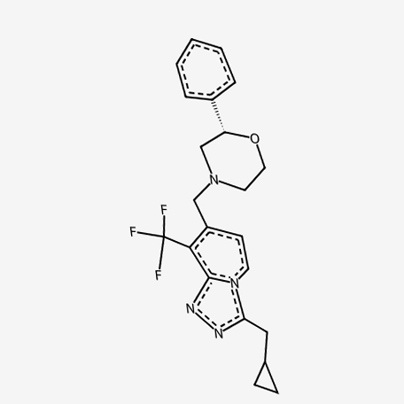 FC(F)(F)c1c(CN2CCO[C@@H](c3ccccc3)C2)ccn2c(CC3CC3)nnc12